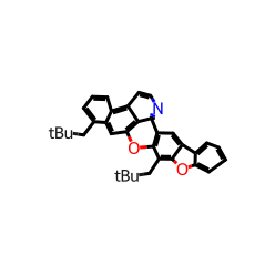 CC(C)(C)Cc1cccc2c1cc1c3c(nccc32)-c2cc3c(oc4ccccc43)c(CC(C)(C)C)c2O1